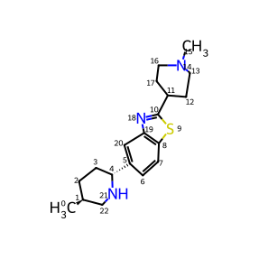 C[C@H]1CC[C@H](c2ccc3sc(C4CCN(C)CC4)nc3c2)NC1